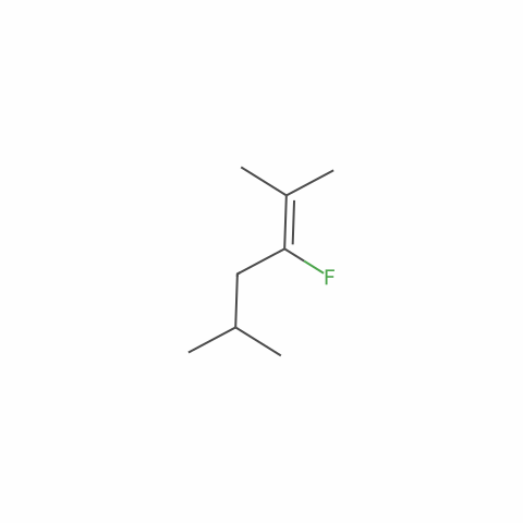 CC(C)=C(F)CC(C)C